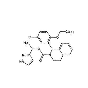 CC(OC(=O)N1CCc2ccccc2C1c1cc(Cl)ccc1OCC(=O)O)c1cc[nH]n1